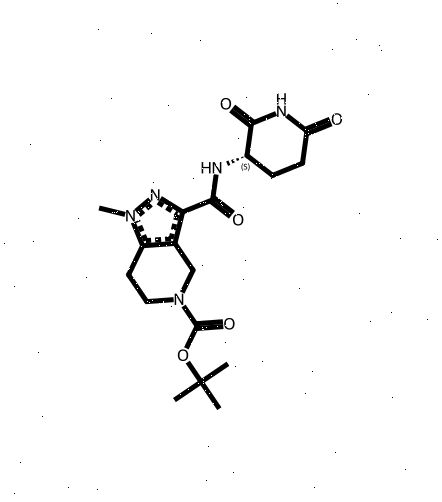 Cn1nc(C(=O)N[C@H]2CCC(=O)NC2=O)c2c1CCN(C(=O)OC(C)(C)C)C2